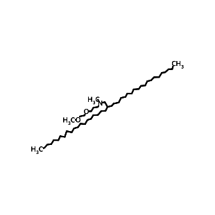 CCCCCCCCCCCCCCCCCCCCC(CCCCCCCCCCCCCCCCCCCC)CN(C)CCCOCCOC